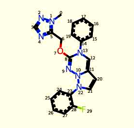 Cn1ncnc1COC1=NN2C(=CN1c1ccccc1)C=CN2c1ccccc1F